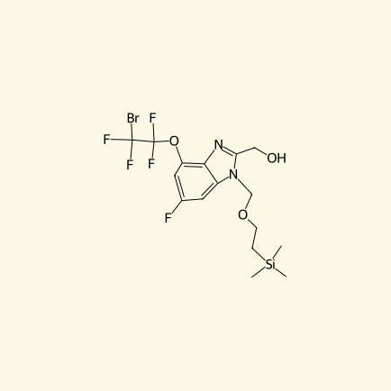 C[Si](C)(C)CCOCn1c(CO)nc2c(OC(F)(F)C(F)(F)Br)cc(F)cc21